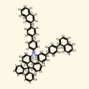 c1ccc(C2(c3ccccc3)c3ccccc3-c3c(N(c4ccc(-c5ccc(-c6ccc7ccccc7c6)cc5)cc4)c4cccc(-c5ccc(-c6cccc7ccccc67)cc5)c4)cccc32)cc1